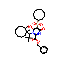 CC1CCCCCCCC1(C)C(n1c(C(=O)OCc2ccccc2)nc(=O)c(S(=O)(=O)C2CCCCCCCC2)c1O)C(C)(C)C